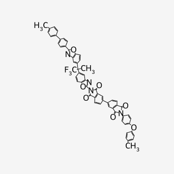 Cc1ccc(Oc2ccc(N3C(=O)c4ccc(-c5ccc6c(c5)C(=O)N(c5nc7cc(C(C)(c8ccc9oc(-c%10ccc(-c%11ccc(C)cc%11)cc%10)nc9c8)C(F)(F)F)ccc7o5)C6=O)cc4C3=O)cc2)cc1